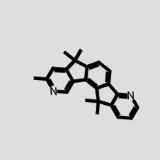 Cc1cc2c(cn1)-c1c(ccc3c1C(C)(C)c1cccnc1-3)C2(C)C